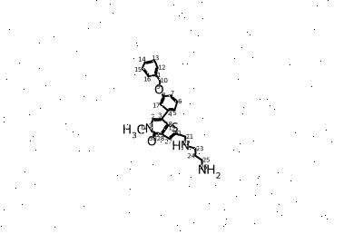 Cn1cc(-c2cccc(OCc3ccccc3)c2)c2sc(CNCCCN)cc2c1=O